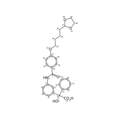 O=C(Nc1cccc(C(O)(C(=O)O)c2ccccc2)c1)c1ccc(OCCCCC2OCCO2)cc1